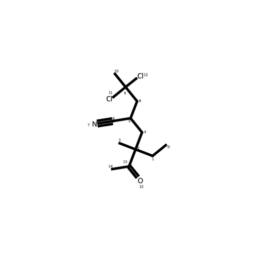 CCC(C)(CC(C#N)CC(C)(Cl)Cl)C(C)=O